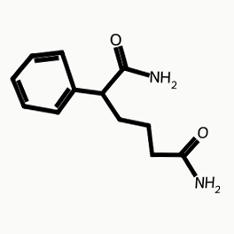 NC(=O)CCCC(C(N)=O)c1ccccc1